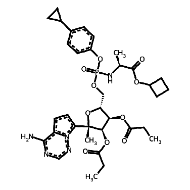 CCC(=O)O[C@H]1[C@@H](OC(=O)CC)[C@](C)(c2ccc3c(N)ncnn23)O[C@@H]1COP(=O)(N[C@@H](C)C(=O)OC1CCC1)Oc1ccc(C2CC2)cc1